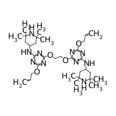 C=CCOc1nc(NC2CC(C)(C)NC(C)(C)C2)nc(OCCOc2nc(NC3CC(C)(C)NC(C)(C)C3)nc(OCC=C)n2)n1